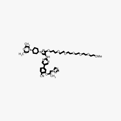 COCCOCCOCCOCCOCCOCCCOc1nn([C@H]2CC[C@H](N3C[C@@H](C)O[C@@H](C)C3)CC2)cc1Nc1ncc(-c2ccc(C#N)c(O[C@@H](C)Cn3cnnn3)c2)cn1